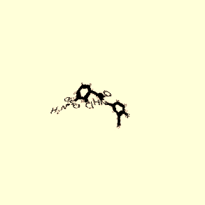 Cc1cc(NC(=O)c2cccc(S(N)(=O)=O)c2Cl)ccc1F